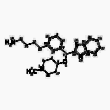 CN1CCC(OC(c2cccc(CCCCN)c2)c2nc3ccccc3s2)CC1